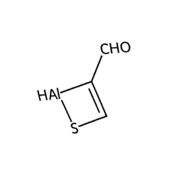 O=C[C]1=C[S][AlH]1